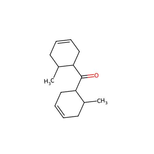 CC1CC=CCC1C(=O)C1CC=CCC1C